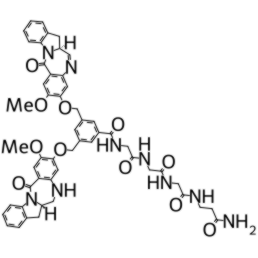 COc1cc2c(cc1OCc1cc(COc3cc4c(cc3OC)C(=O)N3c5ccccc5C[C@H]3CN4)cc(C(=O)NCC(=O)NCC(=O)NCC(=O)NCCC(N)=O)c1)N=C[C@@H]1Cc3ccccc3N1C2=O